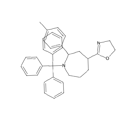 Cc1ccc(C2CC(C3=NCCO3)CCCN2C(c2ccccc2)(c2ccccc2)c2ccccc2)cc1